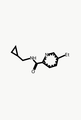 CCc1ccc(C(=O)NCC2CC2)nc1